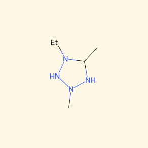 CCN1NN(C)NC1C